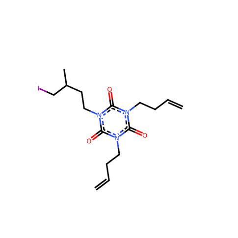 C=CCCn1c(=O)n(CCC=C)c(=O)n(CCC(C)CI)c1=O